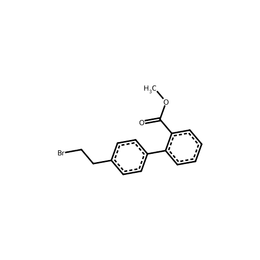 COC(=O)c1ccccc1-c1ccc(CCBr)cc1